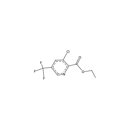 CCOC(=O)c1ncc(C(F)(F)F)cc1Cl